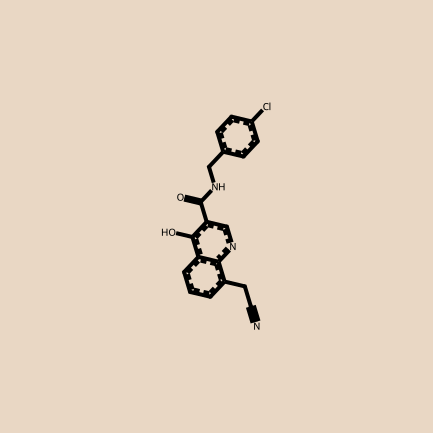 N#CCc1cccc2c(O)c(C(=O)NCc3ccc(Cl)cc3)cnc12